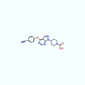 N#Cc1ccc(Oc2ncnc3c2cnn3C2CCN(C(=O)O)CC2)cc1